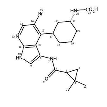 CC1(C)CC1C(=O)Nc1c[nH]c2ncc(Br)c(C3CCC[C@@H](NC(=O)O)C3)c12